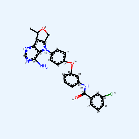 CC1OCc2c1c1ncnc(N)c1n2-c1ccc(Oc2cccc(NC(=O)c3cccc(Cl)c3)c2)cc1